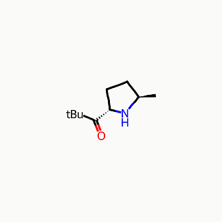 C[C@@H]1CC[C@@H](C(=O)C(C)(C)C)N1